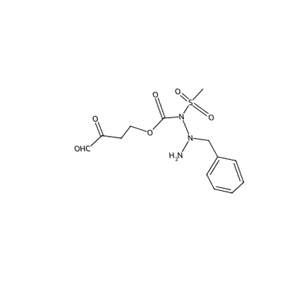 CS(=O)(=O)N(C(=O)OCCC(=O)C=O)N(N)Cc1ccccc1